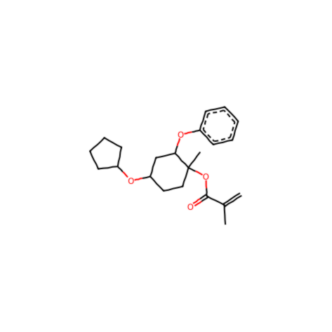 C=C(C)C(=O)OC1(C)CCC(OC2CCCC2)CC1Oc1ccccc1